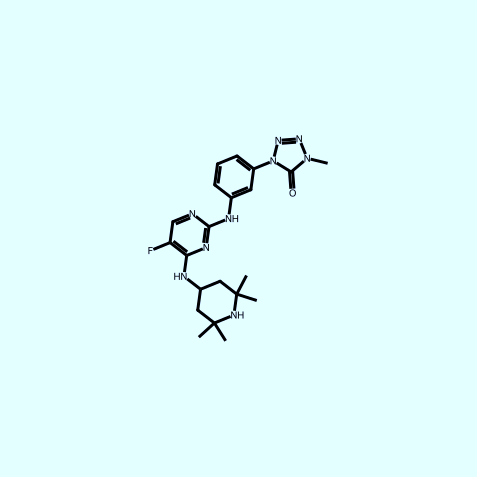 Cn1nnn(-c2cccc(Nc3ncc(F)c(NC4CC(C)(C)NC(C)(C)C4)n3)c2)c1=O